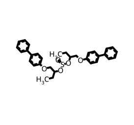 CCC(COc1ccc(-c2ccccc2)cc1)OS(=O)OC(CC)COc1ccc(-c2ccccc2)cc1